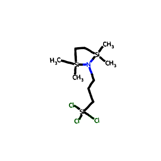 C[Si]1(C)CC[Si](C)(C)N1CCC[Si](Cl)(Cl)Cl